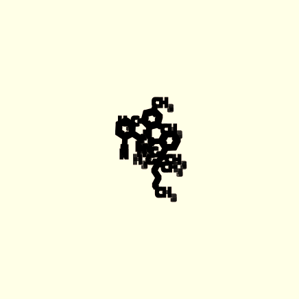 CCCCC(C)(C)C(C)(C)c1ccccc1-c1nnc(-c2ccccc2C#N)n1-c1c(C)cc(C)cc1C